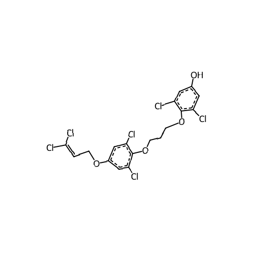 Oc1cc(Cl)c(OCCCOc2c(Cl)cc(OCC=C(Cl)Cl)cc2Cl)c(Cl)c1